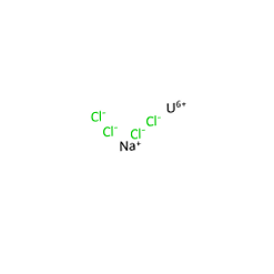 [Cl-].[Cl-].[Cl-].[Cl-].[Na+].[U+6]